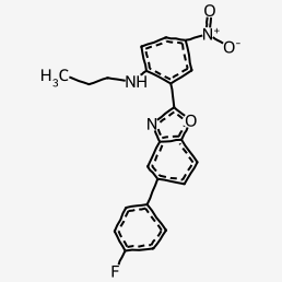 CCCNc1ccc([N+](=O)[O-])cc1-c1nc2cc(-c3ccc(F)cc3)ccc2o1